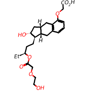 CC[C@@H](CC[C@@H]1[C@H]2Cc3cccc(OCC(=O)O)c3C[C@H]2C[C@H]1O)OC(=O)COCCO